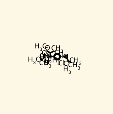 COC(=O)C(C(C)C)[C@@](C)(N[S+]([O-])C(C)(C)C)c1ccc([C@@H]2CC2C(C)(C)C)c(Cl)c1